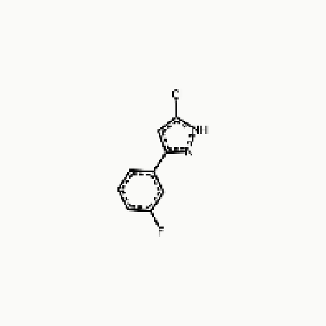 Fc1cccc(-c2cc(Cl)[nH]n2)c1